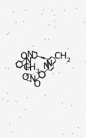 C=C1C=C(C#Cc2ccnc(NC(=O)c3ccccc3C)c2)N2N=C(c3ccc(C(=O)N4CCOCC4)cc3)C=CC2=C1